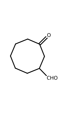 O=CC1CCCCCC(=O)C1